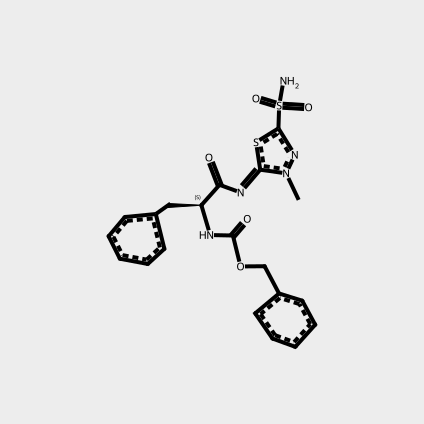 Cn1nc(S(N)(=O)=O)sc1=NC(=O)[C@H](Cc1ccccc1)NC(=O)OCc1ccccc1